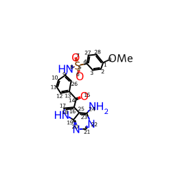 COc1ccc(S(=O)(=O)Nc2cccc(C(=O)c3c[nH]c4ncnc(N)c34)c2)cc1